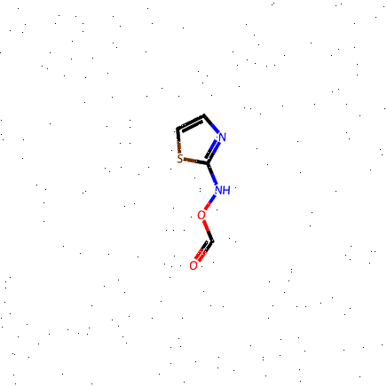 O=CONc1nccs1